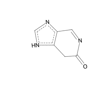 O=C1Cc2[nH]cnc2C=N1